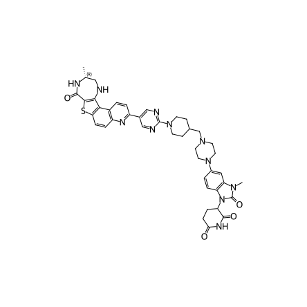 C[C@@H]1CNc2c(sc3ccc4nc(-c5cnc(N6CCC(CN7CCN(c8ccc9c(c8)n(C)c(=O)n9C8CCC(=O)NC8=O)CC7)CC6)nc5)ccc4c23)C(=O)N1